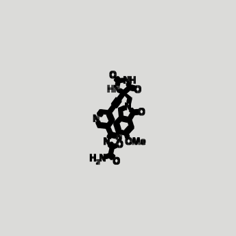 COc1ccc2c(c1)C(=O)N(C[C@@]1(C#Cc3cncc(-c4noc(C(N)=O)n4)c3)NC(=O)NC1=O)C2